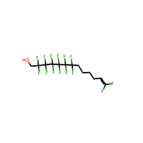 OCC(F)(F)C(F)(F)C(F)(F)C(F)(F)C(F)(F)C(F)(F)CCCCC=C(F)F